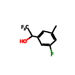 Cc1cc(F)cc(C(O)C(F)(F)F)c1